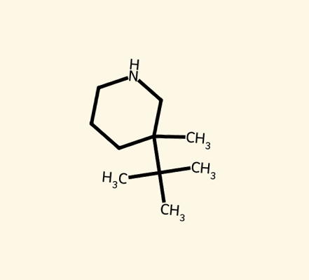 CC(C)(C)C1(C)CCCNC1